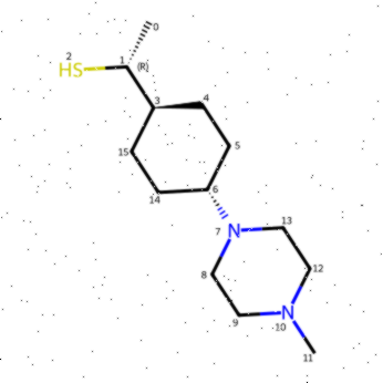 C[C@@H](S)[C@H]1CC[C@H](N2CCN(C)CC2)CC1